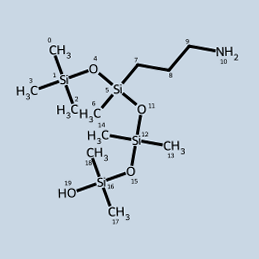 C[Si](C)(C)O[Si](C)(CCCN)O[Si](C)(C)O[Si](C)(C)O